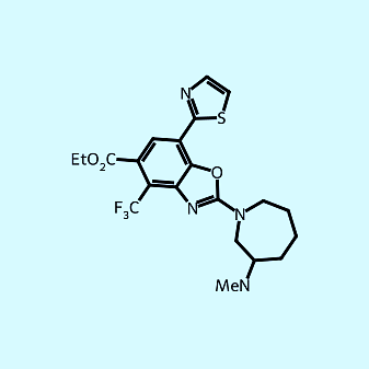 CCOC(=O)c1cc(-c2nccs2)c2oc(N3CCCCC(NC)C3)nc2c1C(F)(F)F